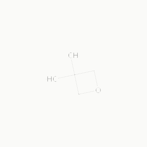 [CH]C1([CH])COC1